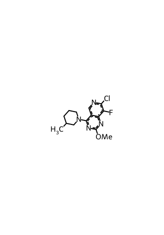 COc1nc(N2CCCC(C)C2)c2cnc(Cl)c(F)c2n1